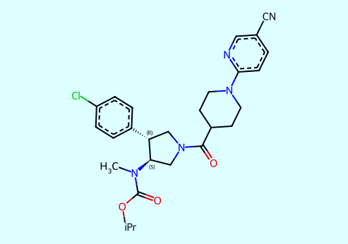 CC(C)OC(=O)N(C)[C@@H]1CN(C(=O)C2CCN(c3ccc(C#N)cn3)CC2)C[C@H]1c1ccc(Cl)cc1